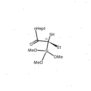 CCCCCCCC(=O)[C@@](S)(CC)[Si](OC)(OC)OC